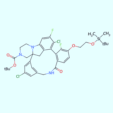 CC(C)(C)OC(=O)N1CCN2c3cc(F)c(Cl)c4c3CC2(C1)c1cc(Cl)cc(c1)CNC(=O)c1ccc(OCCO[Si](C)(C)C(C)(C)C)c(F)c1-4